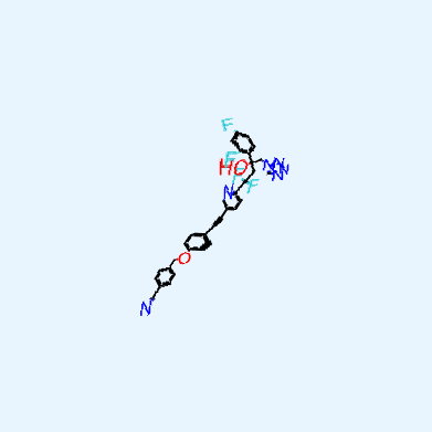 N#Cc1ccc(COc2c#cc(C#Cc3ccc(C(F)(F)CC(O)(Cn4cnnn4)c4ccc(F)cc4F)nc3)cc2)cc1